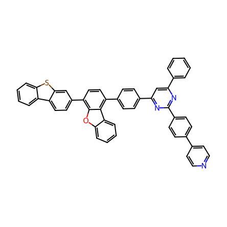 c1ccc(-c2cc(-c3ccc(-c4ccc(-c5ccc6c(c5)sc5ccccc56)c5oc6ccccc6c45)cc3)nc(-c3ccc(-c4ccncc4)cc3)n2)cc1